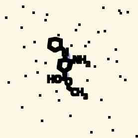 CCO/C(O)=C1C=C/C(=N\C2CCCCC2)C(N)=C/1